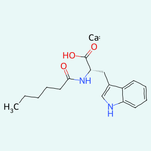 CCCCCC(=O)N[C@@H](Cc1c[nH]c2ccccc12)C(=O)O.[Ca]